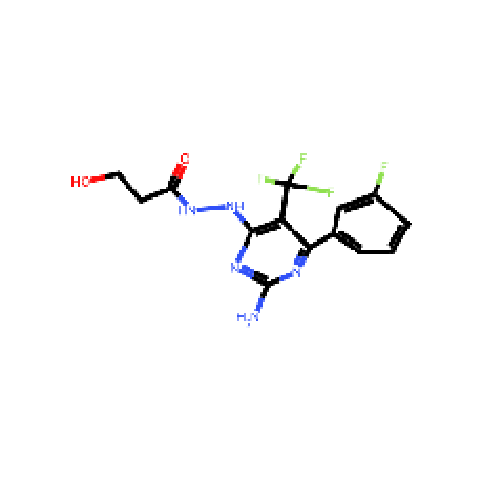 Nc1nc(NNC(=O)CCO)c(C(F)(F)F)c(-c2cccc(F)c2)n1